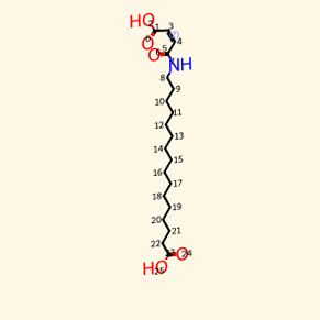 O=C(O)/C=C\C(=O)NCCCCCCCCCCCCCCCC(=O)O